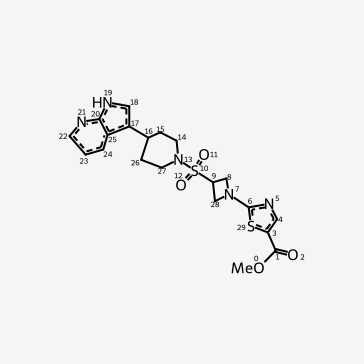 COC(=O)c1cnc(N2CC(S(=O)(=O)N3CCC(c4c[nH]c5ncccc45)CC3)C2)s1